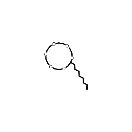 C=CCCCCCCC1COCCOCCOCCOCCOCCO1